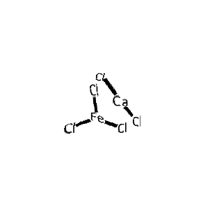 [Cl][Ca][Cl].[Cl][Fe]([Cl])[Cl]